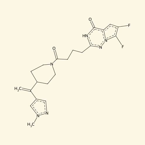 C=C(c1cnn(C)c1)C1CCN(C(=O)CCCc2nn3c(F)c(F)cc3c(=O)[nH]2)CC1